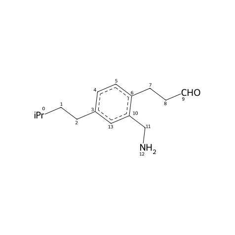 CC(C)CCc1ccc(CCC=O)c(CN)c1